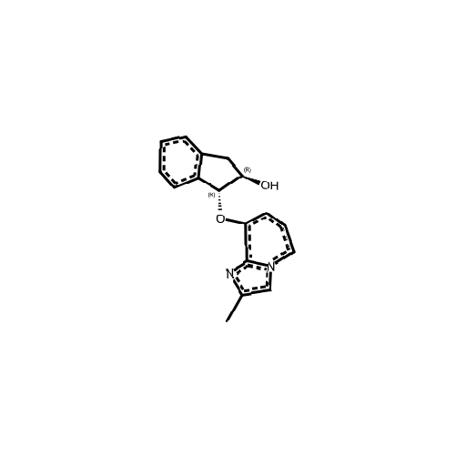 Cc1cn2cccc(O[C@@H]3c4ccccc4C[C@H]3O)c2n1